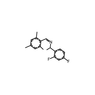 Cc1cc(C)c(/C=N\C(C)c2ccc(F)cc2F)c(C)c1